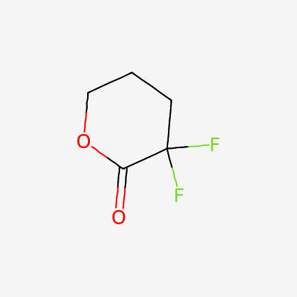 O=C1OCCCC1(F)F